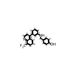 Oc1ccc(CNc2cccc(-c3[c]cnc4c(C(F)(F)F)cccc34)c2)cc1